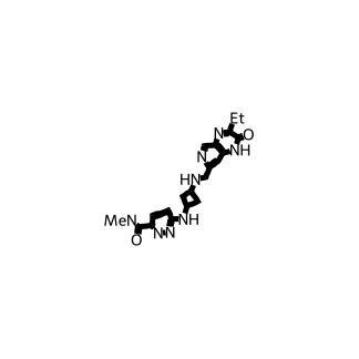 CCc1nc2cnc(CNC3CC(Nc4ccc(C(=O)NC)nn4)C3)cc2[nH]c1=O